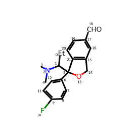 CCC(N(C)C)C1(c2ccc(F)cc2)OCc2cc(C=O)ccc21